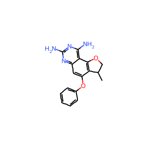 CC1COc2c1c(Oc1ccccc1)cc1nc(N)nc(N)c21